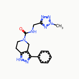 Cn1nnc(CNC(=O)N2CCc3[nH]nc(-c4ccccc4)c3C2)n1